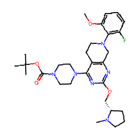 COc1cccc(F)c1N1CCc2c(nc(OC[C@@H]3CCCN3C)nc2N2CCN(C(=O)OC(C)(C)C)CC2)C1